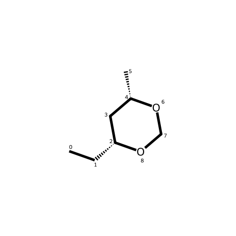 CC[C@@H]1C[C@H](C)OCO1